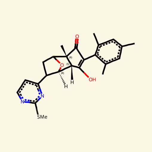 CSc1nccc(C2CC3O[C@H]2[C@H]2C(O)=C(c4c(C)cc(C)cc4C)C(=O)[C@@]32C)n1